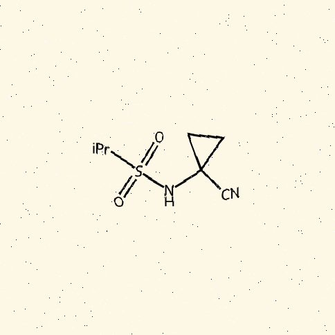 CC(C)S(=O)(=O)NC1(C#N)CC1